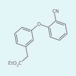 CCOC(=O)Cc1cccc(Oc2ccccc2C#N)c1